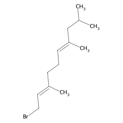 C/C(=C\CBr)CC/C=C(\C)CC(C)C